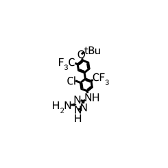 CC(C)(C)Oc1ccc(-c2c(Cl)cc(Nc3n[nH]c(N)n3)cc2C(F)(F)F)cc1C(F)(F)F